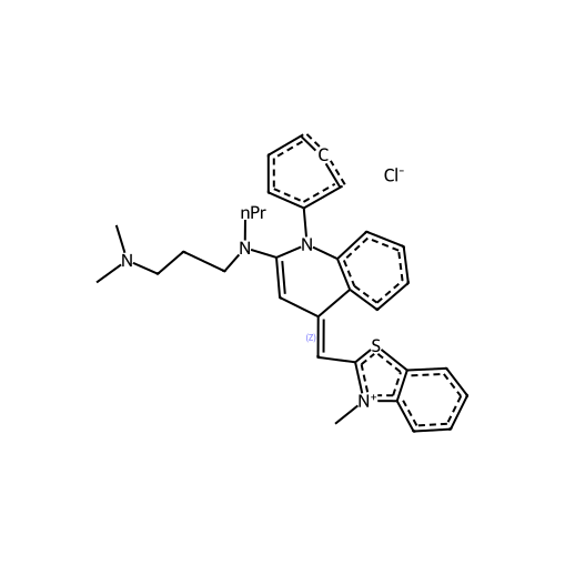 CCCN(CCCN(C)C)C1=C/C(=C/c2sc3ccccc3[n+]2C)c2ccccc2N1c1ccccc1.[Cl-]